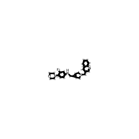 Fc1cc(NCC2C3CN(Cc4cnc5ccccc5c4)CC23)ccc1N1CCOCC1